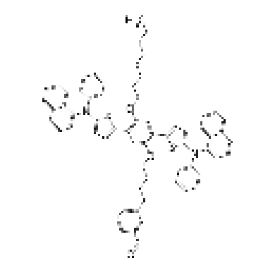 CCCCCCCCOc1cc(-c2ccc(N(c3ccccc3)c3cccc4ccccc34)s2)c(OCCCCc2cccc(C=O)c2)cc1-c1ccc(N(c2ccccc2)c2cccc3ccccc23)s1